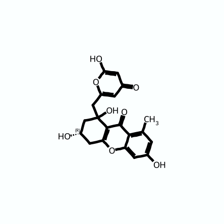 Cc1cc(O)cc2oc3c(c(=O)c12)C(O)(Cc1cc(=O)cc(O)o1)C[C@@H](O)C3